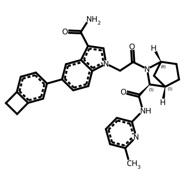 Cc1cccc(NC(=O)[C@@H]2[C@H]3CC[C@H](C3)N2C(=O)Cn2cc(C(N)=O)c3cc(-c4ccc5c(c4)CC5)ccc32)n1